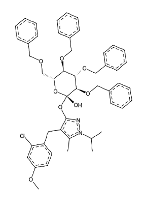 COc1ccc(Cc2c(O[C@]3(O)O[C@H](COCc4ccccc4)[C@@H](OCc4ccccc4)[C@H](OCc4ccccc4)[C@H]3OCc3ccccc3)nn(C(C)C)c2C)c(Cl)c1